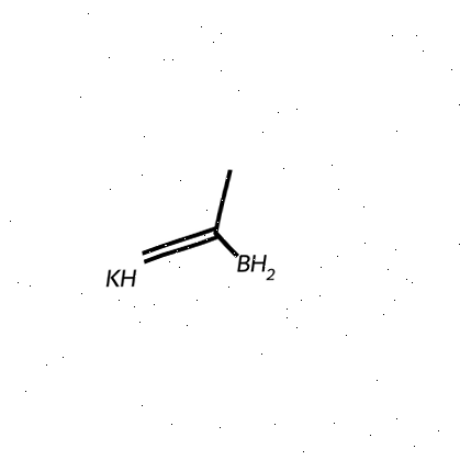 BC(=C)C.[KH]